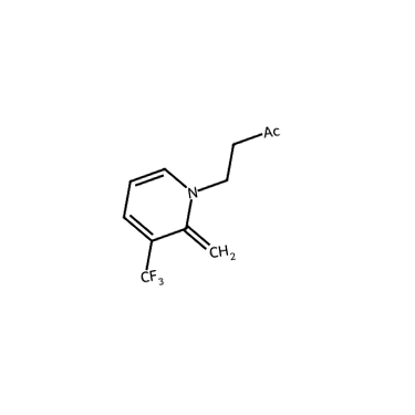 C=C1C(C(F)(F)F)=CC=CN1CCC(C)=O